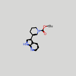 CC(C)(C)OC(=O)N1C=C(c2c[nH]c3ncccc23)CCC1